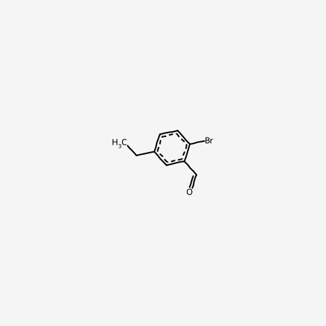 CCc1ccc(Br)c(C=O)c1